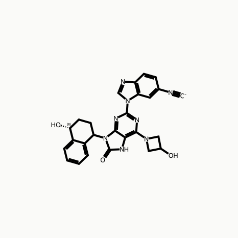 [C-]#[N+]c1ccc2ncn(-c3nc(N4CC(O)C4)c4[nH]c(=O)n(C5CC[C@@H](O)c6ccccc65)c4n3)c2c1